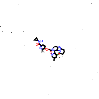 CCc1nc(C(=O)NC2CC2)ccc1OCC(=O)N1CCc2nc3n(c2C1c1ncc(C)cc1F)CCCC3